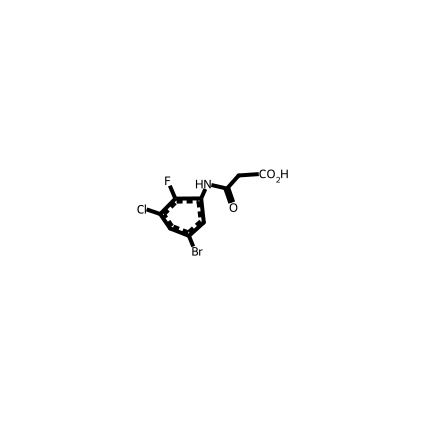 O=C(O)CC(=O)Nc1cc(Br)cc(Cl)c1F